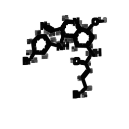 COc1cc(NC(=O)C=CCBr)cc2c(Nc3cccc(Br)c3)c(C#N)cnc12